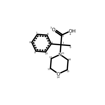 CC(C(=O)O)(c1ccccc1)N1CCOCC1